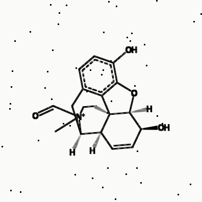 C[N+]1(C=O)CC[C@]23c4c5ccc(O)c4O[C@H]2[C@@H](O)C=C[C@H]3[C@H]1C5